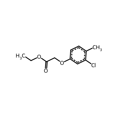 CCOC(=O)COc1ccc(C)c(Cl)c1